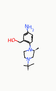 C[C@H]1CN(C(C)(C)C)CCN1c1ccc(N)cc1CO